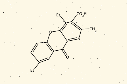 CCc1ccc2oc3c(CC)c(C(=O)O)c(C)nc3c(=O)c2c1